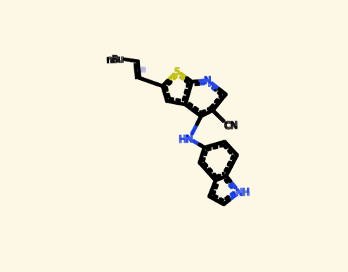 CCCC/C=C/c1cc2c(Nc3ccc4[nH]ccc4c3)c(C#N)cnc2s1